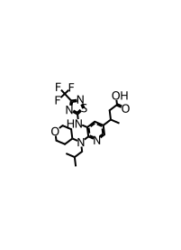 CC(C)CN(c1ncc(C(C)CC(=O)O)cc1Nc1nc(C(F)(F)F)ns1)C1CCOCC1